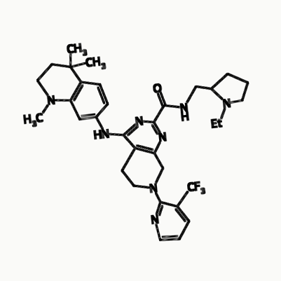 CCN1CCCC1CNC(=O)c1nc2c(c(Nc3ccc4c(c3)N(C)CCC4(C)C)n1)CCN(c1ncccc1C(F)(F)F)C2